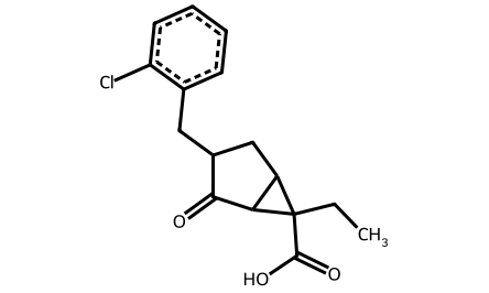 CCC1(C(=O)O)C2CC(Cc3ccccc3Cl)C(=O)C21